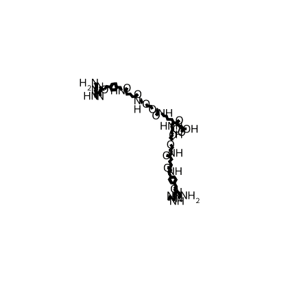 Nc1nc(OCc2ccc(CNC(=O)CCCC(=O)NCCOCCOCC(=O)NCCCCC(NC(=O)COCCOCCNC(=O)CCCC(=O)NCc3ccc(COc4nc(N)nc5[nH]cnc45)cc3)C(=O)NCC(=O)O)cc2)c2nc[nH]c2n1